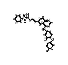 Cc1ccc(Oc2ccc(Nc3ncnc4ccc(C=CCNS(=O)(=O)c5ccccc5)cc34)cc2C)cn1